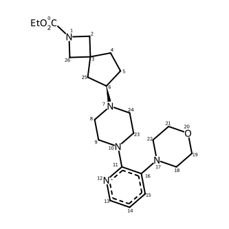 CCOC(=O)N1CC2(CC[C@@H](N3CCN(c4ncccc4N4CCOCC4)CC3)C2)C1